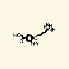 CCCc1cc(C(=O)CO)ccc1OCCCCc1nnn[nH]1